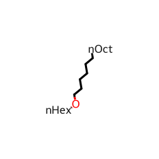 [CH2]CCCCCCCCCCCCCOCCCCCC